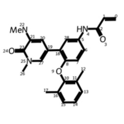 C=CC(=O)Nc1ccc(Oc2c(C)cccc2C)c(-c2cc(NC)c(=O)n(C)c2)c1